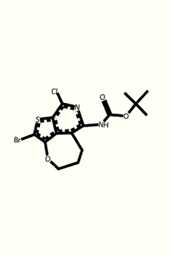 CC(C)(C)OC(=O)Nc1nc(Cl)c2sc(Br)c3c2c1CCCO3